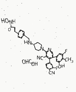 Cc1c(O)cc(-c2cnc(N3CCC(NCc4ccc(/C=C/C(=O)NO)cc4)CC3)c(C#N)c2-c2ccc(C#N)c(F)c2)cc1F.O=CO